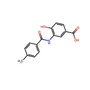 Cc1ccc(C(=O)Nc2cc(C(=O)O)ccc2O)cc1